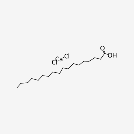 CCCCCCCCCCCCCCCCCC(=O)O.[Cl][Ca][Cl]